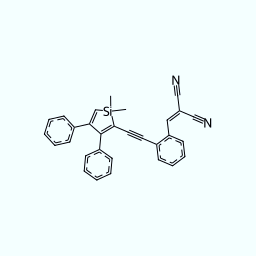 C[Si]1(C)C=C(c2ccccc2)C(c2ccccc2)=C1C#Cc1ccccc1C=C(C#N)C#N